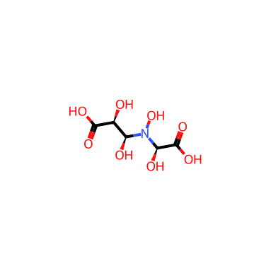 O=C(O)[C@@H](O)[C@H](O)N(O)[C@H](O)C(=O)O